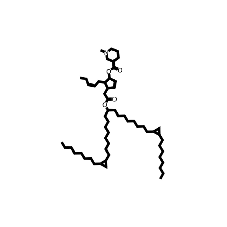 CC/C=C\CC1C(CC(=O)OC(CCCCCCCCC2CC2CCCCCCCC)CCCCCCCCC2CC2CCCCCCCC)CCC1OC(=O)C1CCCN(C)C1